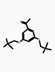 CC(=O)c1cc(OCC(C)(C)C)cc(OCC(C)(C)C)c1